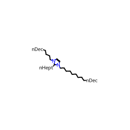 CCCCCCCCCCCCCCCCCCCN1C=CN(CCCCCCCCCCCCCC)C1CCCCCCC